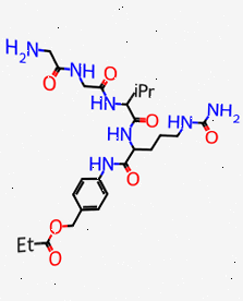 CCC(=O)OCc1ccc(NC(=O)C(CCCNC(N)=O)NC(=O)C(NC(=O)CNC(=O)CN)C(C)C)cc1